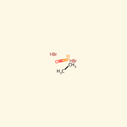 Br.Br.CC.O=P